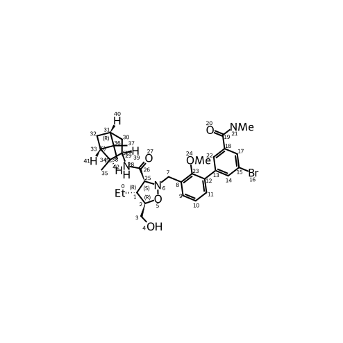 CC[C@H]1[C@H](CO)ON(Cc2cccc(-c3cc(Br)cc(C(=O)NC)c3)c2OC)[C@@H]1C(=O)N[C@H]1C[C@H]2C[C@@H]([C@@H]1C)C2(C)C